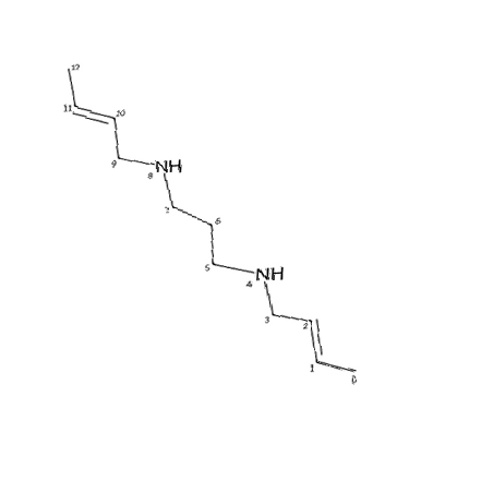 CC=CCNCCCNCC=CC